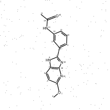 COc1ccc2[nH]c(-c3cccc(NC(C)=O)c3)nc2n1